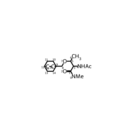 CNC(=O)C(NC(C)=O)C(C)OCC12CCC(CC1)CC2